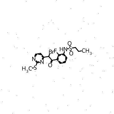 CCCS(=O)(=O)Nc1cccc(C(=O)C(Br)c2ccnc(SC)n2)c1F